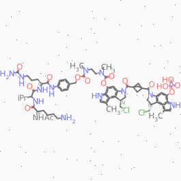 CC(=O)N[C@@H](CCCCN)C(=O)NC(C(=O)N[C@@H](CCCNC(N)=O)C(=O)Nc1ccc(COC(=O)N(C)CCN(C)C(=O)Oc2cc3c(c4c(C)c[nH]c24)[C@H](CCl)CN3C(=O)C23CC(C(=O)N4C[C@@H](CCl)c5c4cc(OP(=O)(O)O)c4[nH]cc(C)c54)(C2)C3)cc1)C(C)C